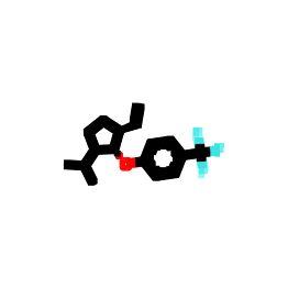 C=C[C@@H]1CCC(C(C)C)[C@H]1Oc1ccc(C(F)(F)F)cc1